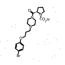 O=C([C@H]1CCCN1C(=O)O)N1CCN(CCCOc2ccc(Br)cc2)CC1